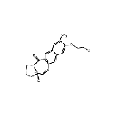 Cc1cc2cc3c(cc2cc1OCCCl)N=C[C@@H]1CCCN1C3=O